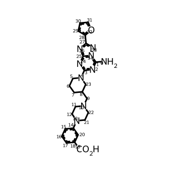 Nc1nc(N2CCCC(CN3CCN(c4cccc(C(=O)O)c4)CC3)C2)nc2nc(-c3ccco3)nn12